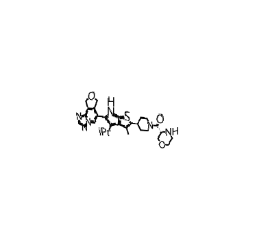 Cc1c(C2CCN(C(=O)[C@H]3COCCN3)CC2)sc2[nH]c(-c3cn4ncnc4c4c3COC4)c(C(C)C)c12